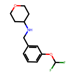 FC(F)Oc1cccc(CNC2CCOCC2)c1